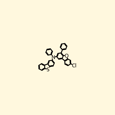 Clc1ccc2c(c1)oc1c(-c3ccccc3)cc(N(c3ccccc3)c3ccc4sc5ccccc5c4c3)cc12